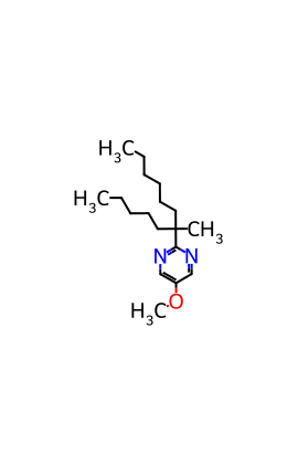 CCCCCCC(C)(CCCCC)c1ncc(OC)cn1